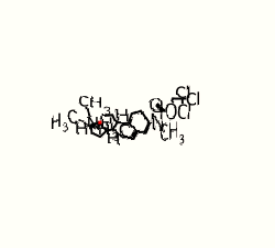 C[C@H]1[C@H]2CC[C@H]3[C@@H]4CC=C5C[C@@H](N(C)C(=O)OCC(Cl)(Cl)Cl)CC[C@]5(C)[C@H]4CC[C@]23CN1C